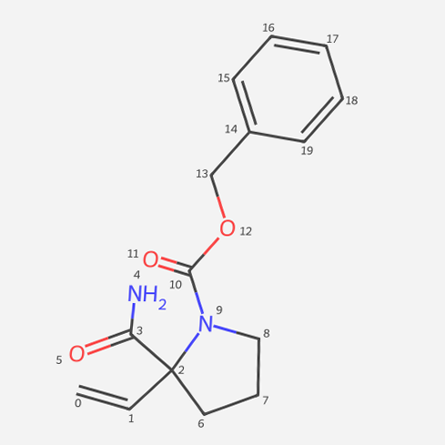 C=CC1(C(N)=O)CCCN1C(=O)OCc1ccccc1